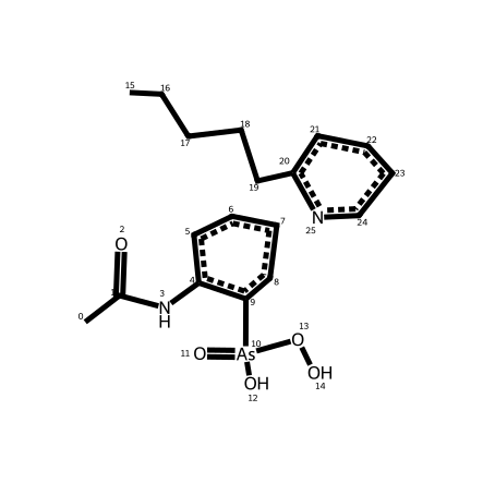 CC(=O)Nc1ccccc1[As](=O)(O)OO.CCCCCc1ccccn1